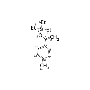 C=C(O[Si](CC)(CC)CC)c1ccc(C)cc1